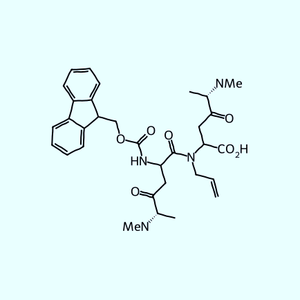 C=CCN(C(=O)C(CC(=O)[C@H](C)NC)NC(=O)OCC1c2ccccc2-c2ccccc21)C(CC(=O)[C@H](C)NC)C(=O)O